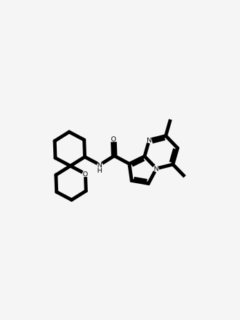 Cc1cc(C)n2ccc(C(=O)NC3CCCCC34CCCCO4)c2n1